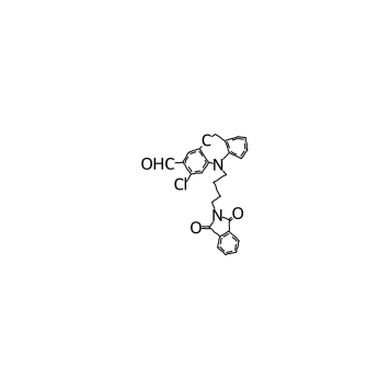 O=Cc1cc2c(cc1Cl)N(CCCCN1C(=O)c3ccccc3C1=O)c1ccccc1CC2